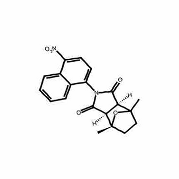 CC12CC[C@@](C)(O1)[C@H]1C(=O)N(c3ccc([N+](=O)[O-])c4ccccc34)C(=O)[C@H]12